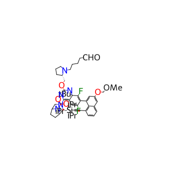 COCOc1cc(-c2c(F)cc3c(N4CC5CCC(C4)N5C(=O)OC(C)(C)C)nc(OC[C@@H]4CCCN4CCCCC=O)nc3c2F)c2c(C#C[Si](C(C)C)(C(C)C)C(C)C)cccc2c1